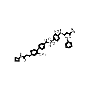 COc1cc(CCC(=O)NC2CCC2)ccc1-c1ccc(C(=O)NS(=O)(=O)c2ccc(N[C@@H](CSc3ccccc3)CC(=O)N(C)C)c([N+](=O)[O-])c2)cc1